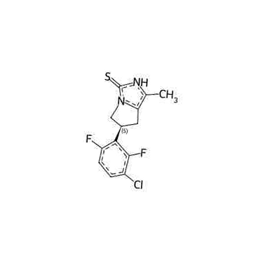 Cc1[nH]c(=S)n2c1C[C@@H](c1c(F)ccc(Cl)c1F)C2